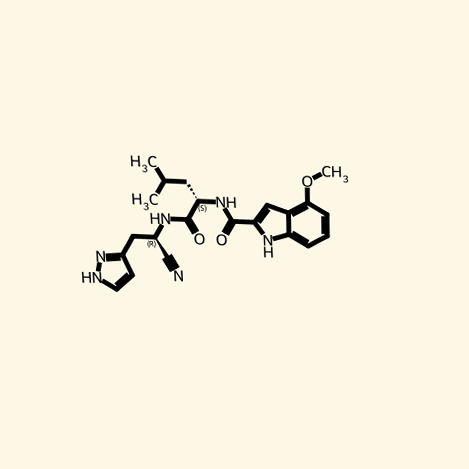 COc1cccc2[nH]c(C(=O)N[C@@H](CC(C)C)C(=O)N[C@@H](C#N)Cc3cc[nH]n3)cc12